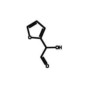 O=CC(O)c1ccco1